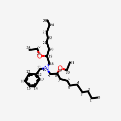 CCCCCCCCC(CN(Cc1ccccc1)CC(CCCCCC)OCC)OCC